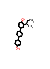 CCC(C)c1cc(-c2ccc(-c3ccc(O)cc3)cc2)ccc1O